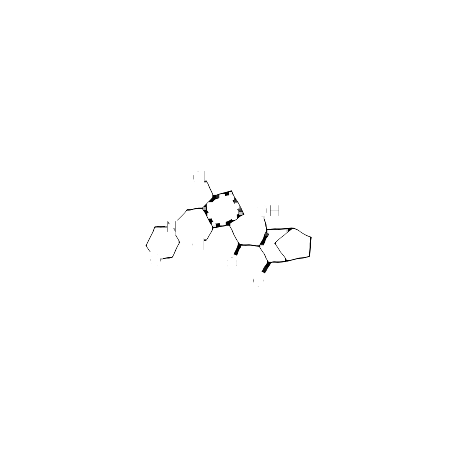 O=C(C1=C(O)C2CCC(C2)C1=O)c1ccc(Cl)c(CN2CCOCC2)c1Cl